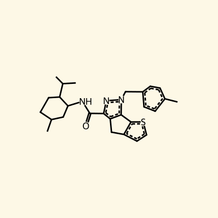 Cc1ccc(Cn2nc(C(=O)NC3CC(C)CCC3C(C)C)c3c2-c2sccc2C3)cc1